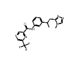 CC(Cc1nncn1C)c1cccc(NC(=O)c2cncc(C(F)(F)F)n2)c1